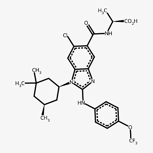 C[C@@H]1C[C@H](n2c(Nc3ccc(OC(F)(F)F)cc3)nc3cc(C(=O)N[C@@H](C)C(=O)O)c(Cl)cc32)CC(C)(C)C1